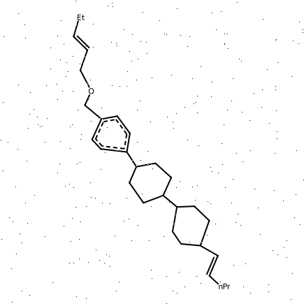 CCC=CCOCc1ccc(C2CCC(C3CCC(C=CCCC)CC3)CC2)cc1